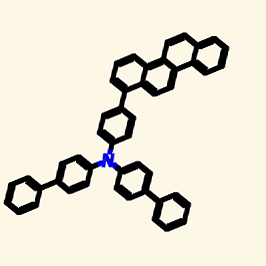 c1ccc(-c2ccc(N(c3ccc(-c4ccccc4)cc3)c3ccc(-c4cccc5c4ccc4c6ccccc6ccc54)cc3)cc2)cc1